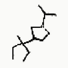 CCC(C)(CC)C1CCN(C(C)C)C1